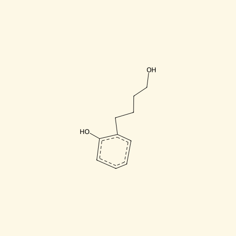 OCCCCc1ccccc1O